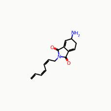 C=C/C=C\C=C/CN1C(=O)C2=CCC(N)C=C2C1=O